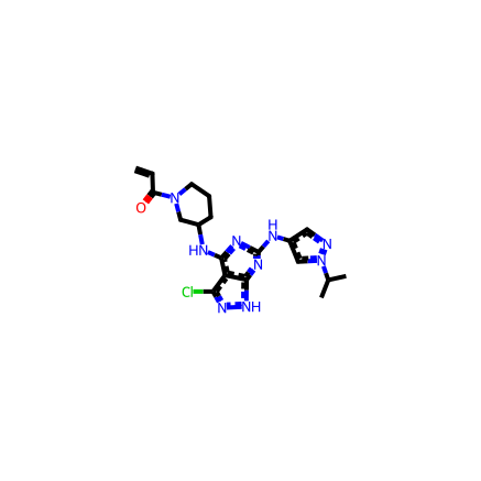 C=CC(=O)N1CCCC(Nc2nc(Nc3cnn(C(C)C)c3)nc3[nH]nc(Cl)c23)C1